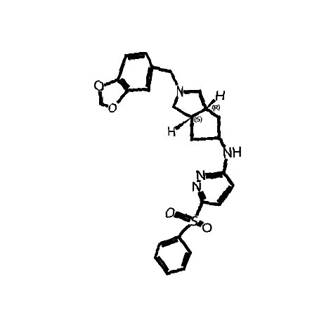 O=S(=O)(c1ccccc1)c1ccc(NC2C[C@@H]3CN(Cc4ccc5c(c4)OCO5)C[C@@H]3C2)nn1